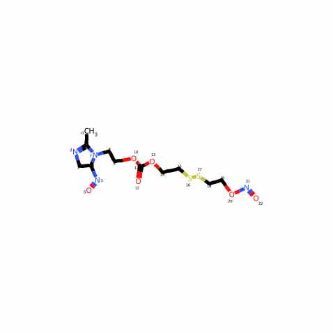 CC1=NCC(N=O)N1CCOC(=O)OCCSSCCON=O